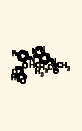 Cc1cc(N=S(C)(C)=O)cc2ncnc(Nc3ccc(F)cc3O[C@@H]3CO[C@@H]4COCC43)c12